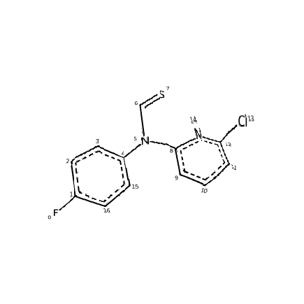 Fc1ccc(N(C=S)c2cccc(Cl)n2)cc1